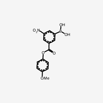 COc1ccc(OC(=O)c2cc(B(O)O)cc([N+](=O)[O-])c2)cc1